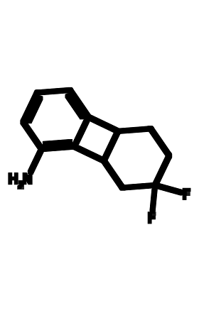 Nc1cccc2c1C1CC(F)(F)CCC21